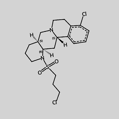 O=S(=O)(CCCCl)N1CCC[C@H]2CN3CCc4c(Cl)cccc4[C@@H]3C[C@H]21